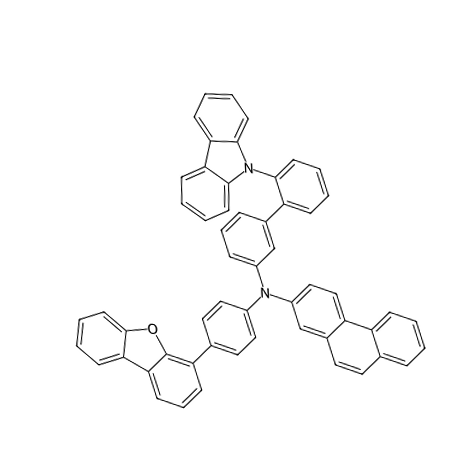 c1cc(-c2ccccc2-n2c3ccccc3c3ccccc32)cc(N(c2ccc(-c3cccc4c3oc3ccccc34)cc2)c2ccc3c(ccc4ccccc43)c2)c1